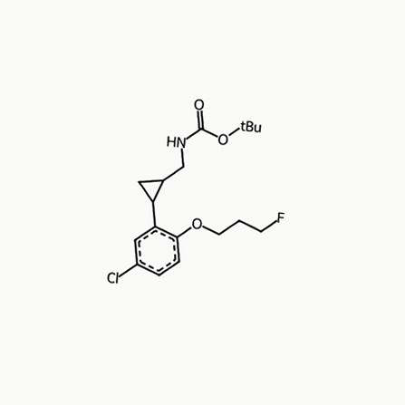 CC(C)(C)OC(=O)NCC1CC1c1cc(Cl)ccc1OCCCF